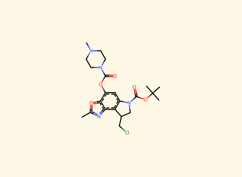 Cc1nc2c3c(cc(OC(=O)N4CCN(C)CC4)c2o1)N(C(=O)OC(C)(C)C)CC3CCl